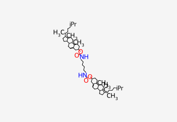 CC(C)CCCC(C)C1CCC2C3CC=C4CC(OC(=O)NCCCCCCNC(=O)OC5CCC6(C)C(=CCC7C6CCC6(C)C(C(C)CCCC(C)C)CCC76)C5)CCC4(C)C3CCC12C